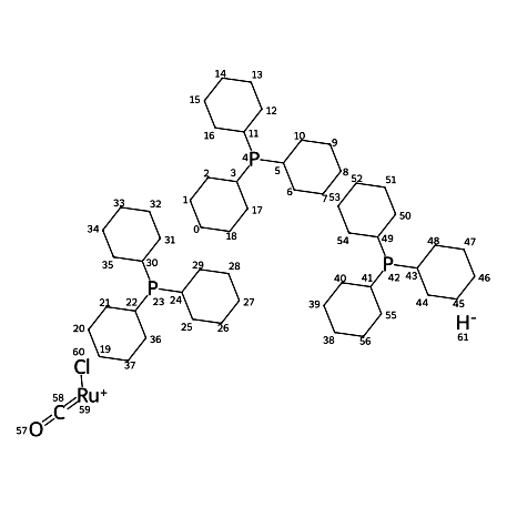 C1CCC(P(C2CCCCC2)C2CCCCC2)CC1.C1CCC(P(C2CCCCC2)C2CCCCC2)CC1.C1CCC(P(C2CCCCC2)C2CCCCC2)CC1.O=[C]=[Ru+][Cl].[H-]